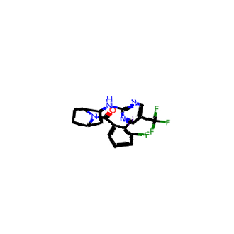 O=C(c1cccc(F)c1I)N1C2CCC1C(Nc1ncc(C(F)(F)F)cn1)C2